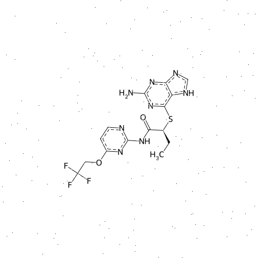 CC[C@H](Sc1nc(N)nc2nc[nH]c12)C(=O)Nc1nccc(OCC(F)(F)F)n1